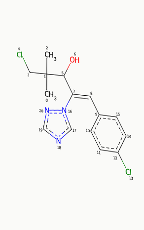 CC(C)(CCl)C(O)/C(=C/c1ccc(Cl)cc1)n1cncn1